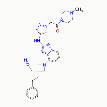 CN1CCN(C(=O)Cn2cc(Nc3nc4c(N5CC(CC#N)(CCc6ccccc6)C5)cccn4n3)cn2)CC1